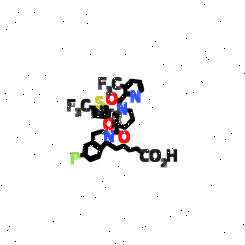 CCC[C@H]1N(C(=O)c2ncccc2C(F)(F)F)CCC[C@]1(Oc1csc(C(F)(F)F)c1)C(=O)N1CCc2cc(F)ccc2C1CCCCC(=O)O